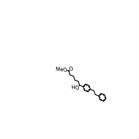 COC(=O)CCCCC(O)c1ccc(CCc2ccccc2)cc1